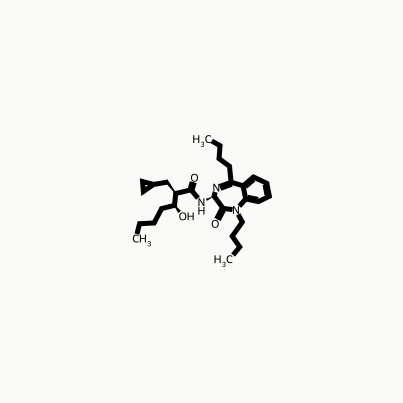 CCCCC1=N[C@@H](NC(=O)[C@H](CC2CC2)[C@@H](O)CCCC)C(=O)N(CCCC)c2ccccc21